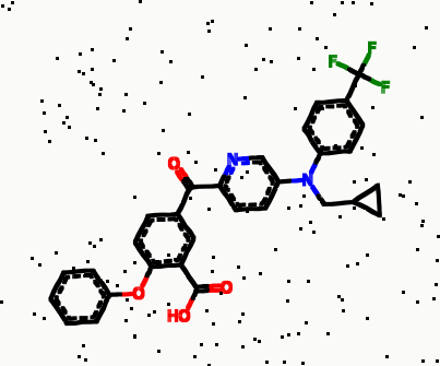 O=C(c1ccc(Oc2ccccc2)c(C(=O)O)c1)c1ccc(N(CC2CC2)c2ccc(C(F)(F)F)cc2)cn1